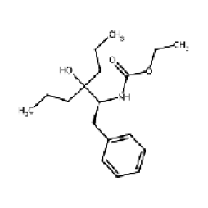 CCCC(O)(CCC)[C@H](Cc1ccccc1)NC(=O)OCC